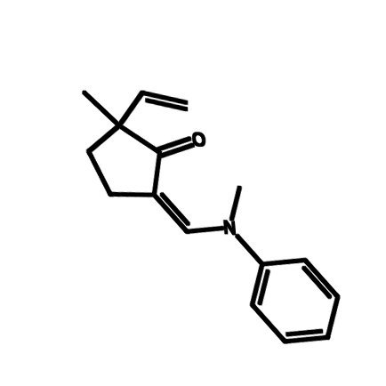 C=CC1(C)CC/C(=C/N(C)c2ccccc2)C1=O